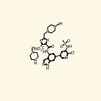 CC(C)N1CCN(Cc2nc(C(=O)Nc3cc(-c4cnc(Cl)c(NS(C)(=O)=O)c4)cc4[nH]ncc34)c(C(=O)O)s2)CC1.CC(C)N1CCNCC1